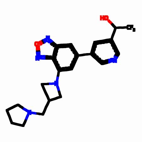 OC(c1cncc(-c2cc(N3CC(CN4CCCC4)C3)c3nonc3c2)c1)C(F)(F)F